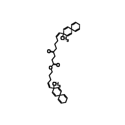 CC1(/C=C\CCCOC(=O)CCC(=O)CCC/C=C\C2(C)C=CC3(C=CCC=C3)C=C2)C=CC2(C=CCC=C2)C=C1